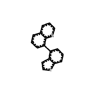 c1cnc2c(-c3cccc4sccc34)cccc2c1